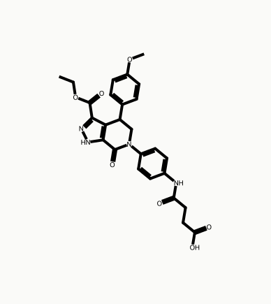 CCOC(=O)c1n[nH]c2c1C(c1ccc(OC)cc1)CN(c1ccc(NC(=O)CCC(=O)O)cc1)C2=O